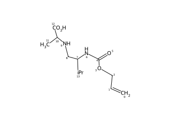 C=CCOC(=O)NC(CNC(C)C(=O)O)C(C)C